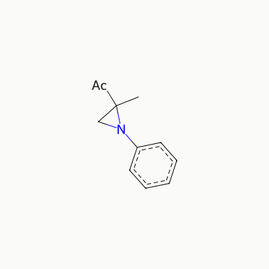 CC(=O)C1(C)CN1c1ccccc1